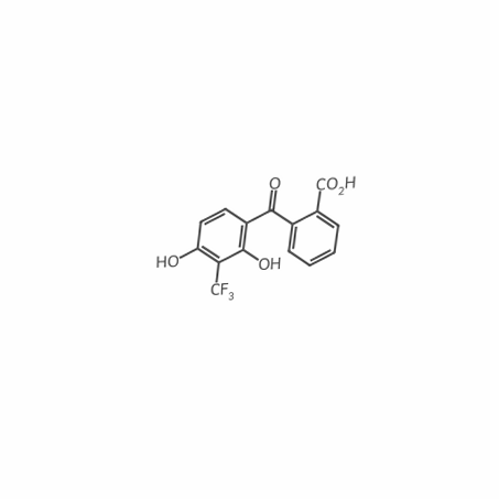 O=C(O)c1ccccc1C(=O)c1ccc(O)c(C(F)(F)F)c1O